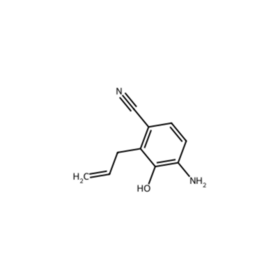 C=CCc1c(C#N)ccc(N)c1O